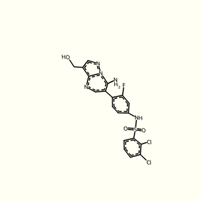 Nc1c(-c2ccc(NS(=O)(=O)c3cccc(Cl)c3Cl)cc2F)cnc2c(CO)cnn12